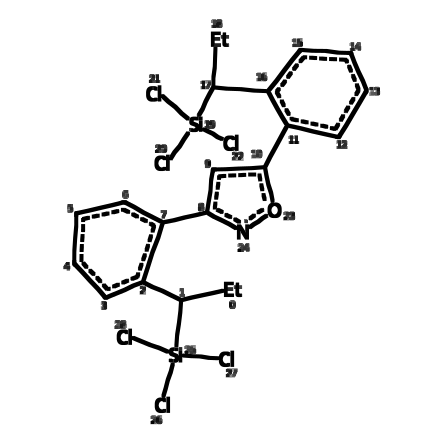 CCC(c1ccccc1-c1cc(-c2ccccc2C(CC)[Si](Cl)(Cl)Cl)on1)[Si](Cl)(Cl)Cl